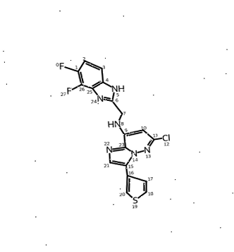 Fc1ccc2[nH]c(CNc3cc(Cl)nn4c(-c5ccsc5)cnc34)nc2c1F